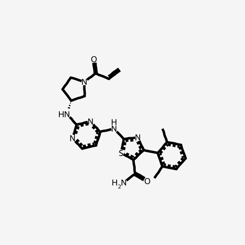 C=CC(=O)N1CC[C@@H](Nc2nccc(Nc3nc(-c4c(C)cccc4C)c(C(N)=O)s3)n2)C1